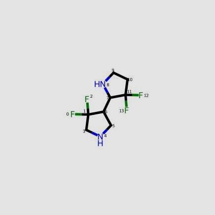 FC1(F)CNCC1C1NCCC1(F)F